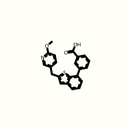 COc1ccc(Cc2cc3cccc(-c4cccc(C(=O)O)c4)c3s2)cn1